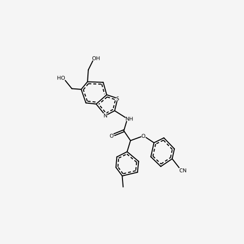 Cc1ccc(C(Oc2ccc(C#N)cc2)C(=O)Nc2nc3cc(CO)c(CO)cc3s2)cc1